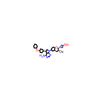 N#C/C(=C/c1cccc(-n2cc(-c3ccc(Oc4ccccc4)cc3)c3c(N)ncnc32)c1)C(=O)N1CC(O)C1